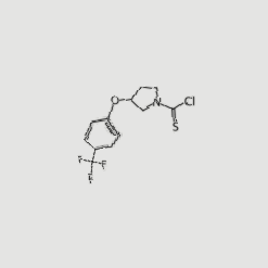 FC(F)(F)c1ccc(OC2CCN(C(=S)Cl)C2)cc1